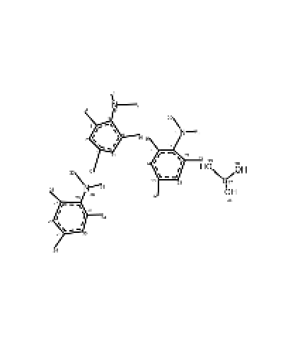 Cc1cc(C)c(N(C)C)c(C)c1.Cc1cc(C)c(N(C)C)c(C)c1.Cc1cc(C)c(N(C)C)c(C)c1.OB(O)O